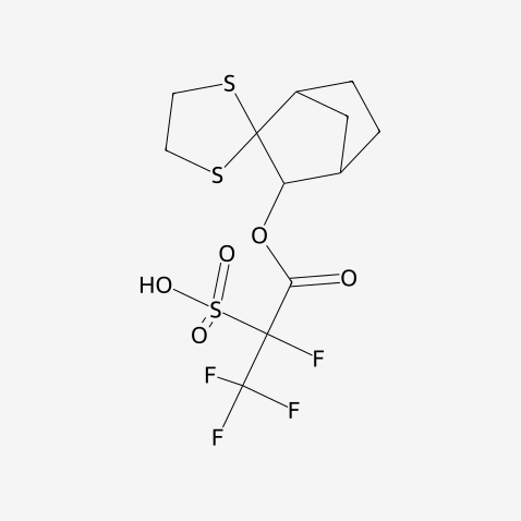 O=C(OC1C2CCC(C2)C12SCCS2)C(F)(C(F)(F)F)S(=O)(=O)O